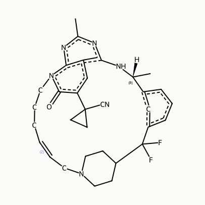 Cc1nc2c3cc(C4(C#N)CC4)c(=O)n(c3n1)CCC/C=C\CN1CCC(CC1)C(F)(F)c1cccc(c1)[C@@H](C)N2